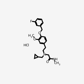 CNC(=O)CN(CCc1ccc(OCc2cccc(F)c2)c(OC)c1)CC1CC1.Cl